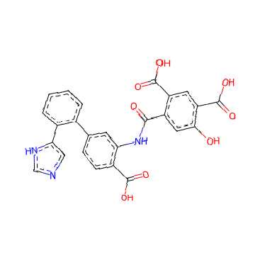 O=C(O)c1cc(C(=O)O)c(C(=O)Nc2cc(-c3ccccc3-c3cnc[nH]3)ccc2C(=O)O)cc1O